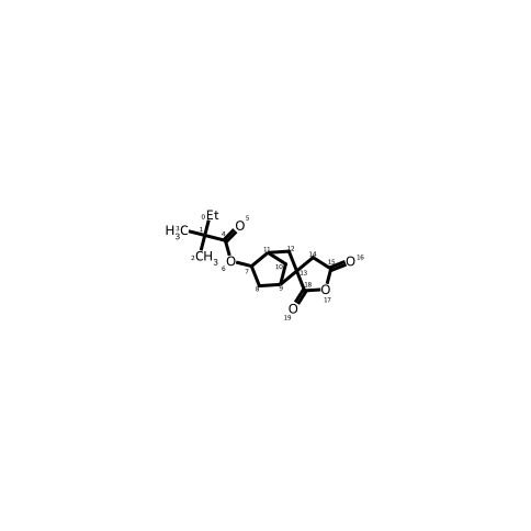 CCC(C)(C)C(=O)OC1CC2CC1CC21CC(=O)OC1=O